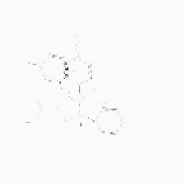 COC(=O)[C@H]1[C@@H](O)[C@@]2(O)c3c(OC)cc(OC)cc3O[C@@]2(c2ccc(Br)cc2)[C@@H]1c1cccc(F)c1